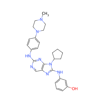 CN1CCN(c2ccc(Nc3ncc4nc(Nc5cccc(O)c5)n(C5CCCC5)c4n3)cc2)CC1